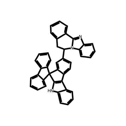 c1ccc2c(c1)CC(c1ccc3c(c1)C1(c4ccccc4-c4ccccc41)c1[nH]c4ccccc4c1-3)n1c-2nc2ccccc21